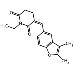 CCN1C(=O)CC/C(=C/c2ccc3oc(C)c(C)c3c2)C1=O